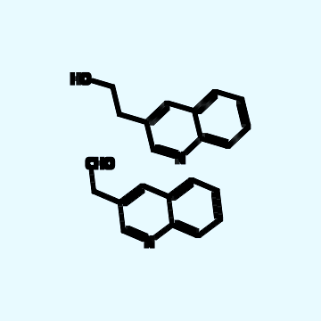 O=CCc1cnc2ccccc2c1.OCCc1cnc2ccccc2c1